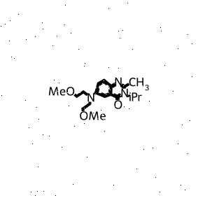 COCCN(CCOC)c1ccc2nc(C)n(C(C)C)c(=O)c2c1